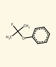 CC(C)(F)Oc1ccccc1